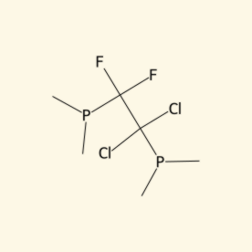 CP(C)C(F)(F)C(Cl)(Cl)P(C)C